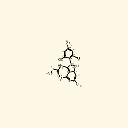 CC(C)(C)OC(=O)NC1=C2C(C(F)(F)F)=NC(C(F)(F)F)=NC2NN1c1c(Cl)cc(C(F)(F)F)cc1Cl